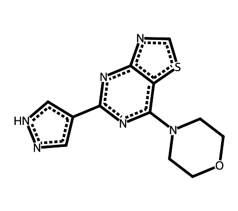 c1nc2nc(-c3cn[nH]c3)nc(N3CCOCC3)c2s1